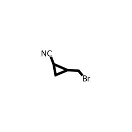 N#CC1CC1CBr